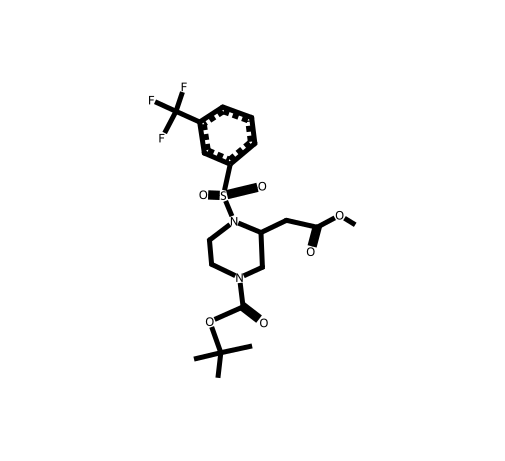 COC(=O)CC1CN(C(=O)OC(C)(C)C)CCN1S(=O)(=O)c1cccc(C(F)(F)F)c1